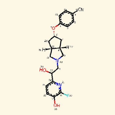 N#Cc1ccc(O[C@@H]2C[C@@H]3CN(CC(O)c4ccc(O)c(F)n4)C[C@@H]3C2)cc1